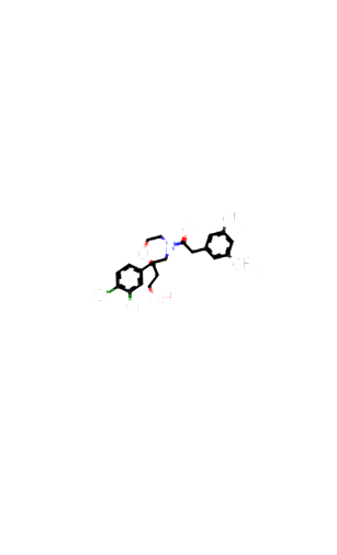 O=C(Cc1cc(C(F)(F)F)cc(C(F)(F)F)c1)N1CCOC(CCO)(c2ccc(Cl)c(Cl)c2)C1